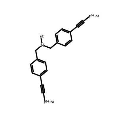 CCCCCCC#Cc1ccc(CN(CC)Cc2ccc(C#CCCCCCC)cc2)cc1